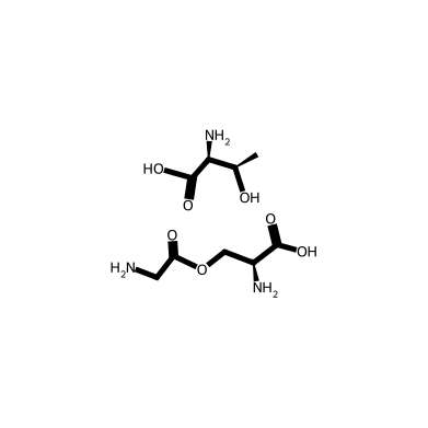 C[C@@H](O)[C@H](N)C(=O)O.NCC(=O)OC[C@H](N)C(=O)O